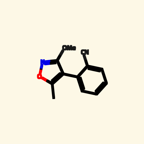 COc1noc(C)c1-c1ccccc1C#N